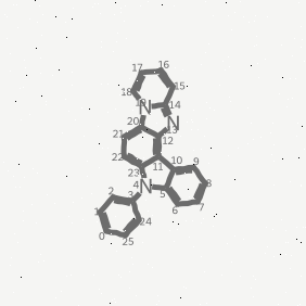 c1ccc(-n2c3ccccc3c3c4nc5ccccn5c4ccc32)cc1